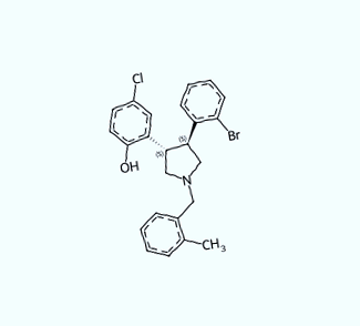 Cc1ccccc1CN1C[C@H](c2cc(Cl)ccc2O)[C@@H](c2ccccc2Br)C1